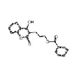 O=C(OCCCc1c(O)c2ccccc2oc1=O)c1ccccc1